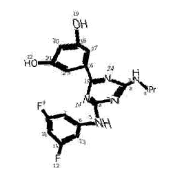 CC(C)Nc1nc(Nc2cc(F)cc(F)c2)nc(-c2cc(O)cc(O)c2)n1